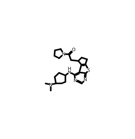 CN(C)C1CCC(Nc2ncnc3sc4c(c23)C(CC(=O)N2CCCC2)CC4)CC1